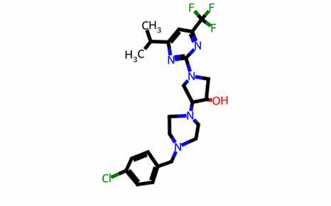 CC(C)c1cc(C(F)(F)F)nc(N2CC(O)C(N3CCN(Cc4ccc(Cl)cc4)CC3)C2)n1